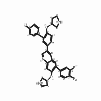 Fc1ccc(-c2cc(-c3cnc4cc(O[C@H]5CCNC5)c(-c5ccc(F)c(F)c5)cc4c3)ccc2O[C@H]2CCNC2)cc1